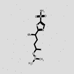 C[SiH](C)OC(I)CCC(c1ncc(S(N)(=O)=O)s1)C(C)(C)C